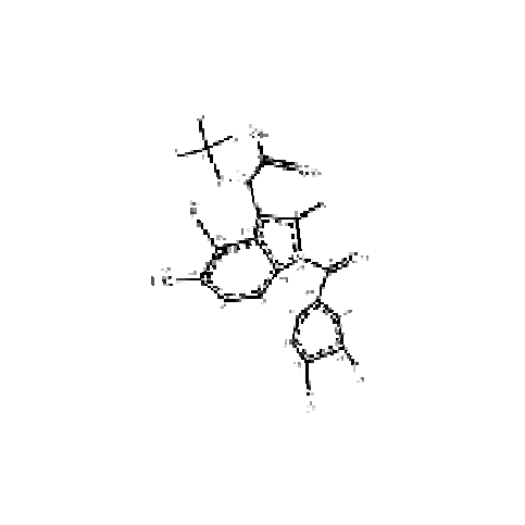 Cc1c([C@H](CC(C)(C)C)C(=O)O)c2c(F)c(O)ccc2n1C(=O)c1ccc(Cl)c(F)c1